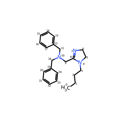 CCCCN1CCN=C1CN(Cc1ccccc1)Cc1ccccc1